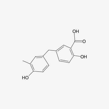 Cc1cc(Cc2ccc(O)c(C(=O)O)c2)ccc1O